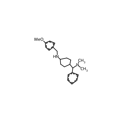 COc1ccc(CNC2CCC(C(c3ccccc3)N(C)C)CC2)cc1